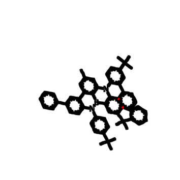 Cc1cc2c3c(c1)N(c1ccc(C(C)(C)C)cc1-c1ccccc1)c1cc4c(cc1B3N(c1ccc(C(C)(C)C)cc1)c1ccc(-c3ccccc3)cc1-2)C(C)(C)c1ccccc1-4